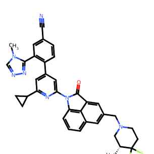 C[C@@H]1CN(Cc2cc3c4c(cccc4c2)N(c2cc(-c4ccc(C#N)cc4-c4nncn4C)cc(C4CC4)n2)C3=O)CCC1(F)F